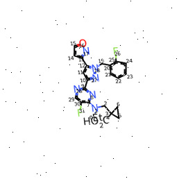 CCN(CC1(C(=O)O)CC1)c1nc(-c2cc(-c3ccon3)n(Cc3ccccc3F)n2)ncc1F